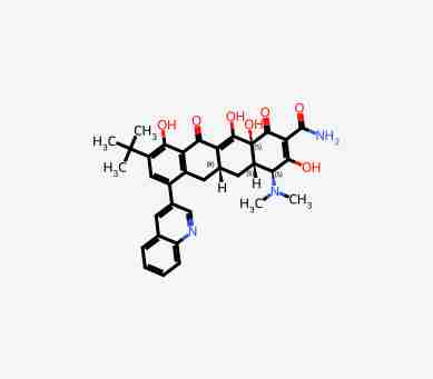 CN(C)[C@@H]1C(O)=C(C(N)=O)C(=O)[C@@]2(O)C(O)=C3C(=O)c4c(O)c(C(C)(C)C)cc(-c5cnc6ccccc6c5)c4C[C@H]3C[C@@H]12